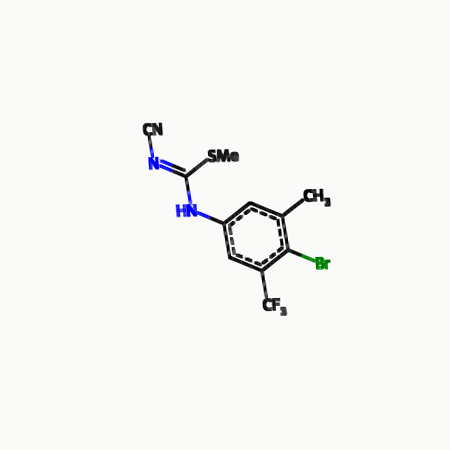 CS/C(=N\C#N)Nc1cc(C)c(Br)c(C(F)(F)F)c1